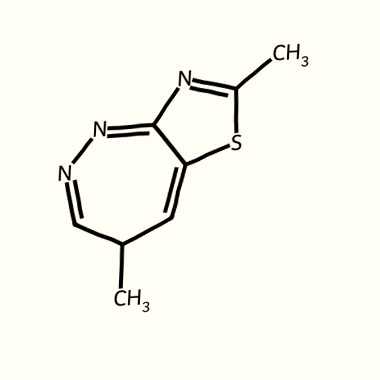 Cc1nc2c(s1)=CC(C)C=NN=2